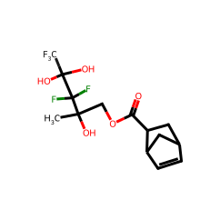 CC(O)(COC(=O)C1CC2C=CC1C2)C(F)(F)C(O)(O)C(F)(F)F